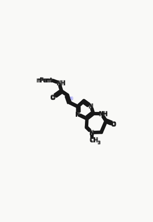 CCCCCNC(=O)/C=C/c1cnc2c(n1)CN(C)CC(=O)N2